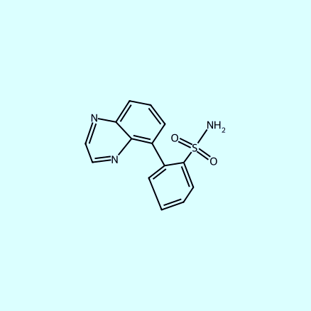 NS(=O)(=O)c1ccccc1-c1cccc2nccnc12